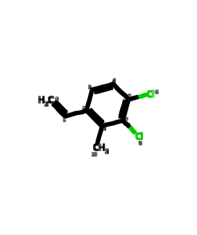 C=Cc1ccc(Cl)c(Cl)c1C